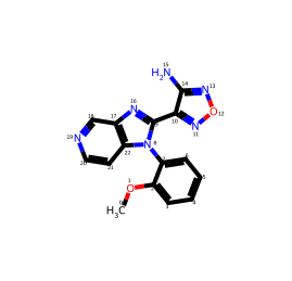 COc1ccccc1-n1c(-c2nonc2N)nc2cnccc21